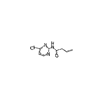 C=CCC(=O)Nc1nccc(Cl)n1